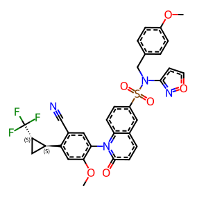 COc1ccc(CN(c2ccon2)S(=O)(=O)c2ccc3c(ccc(=O)n3-c3cc(C#N)c([C@H]4C[C@@H]4C(F)(F)F)cc3OC)c2)cc1